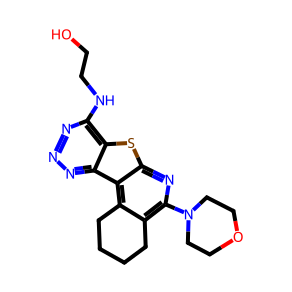 OCCNc1nnnc2c1sc1nc(N3CCOCC3)c3c(c12)CCCC3